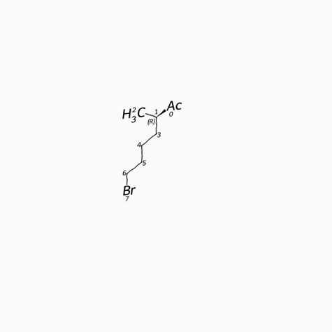 CC(=O)[C@H](C)CCCCBr